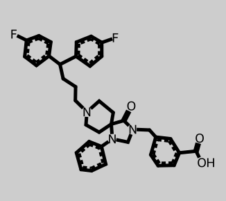 O=C(O)c1cccc(CN2CN(c3ccccc3)C3(CCN(CCCC(c4ccc(F)cc4)c4ccc(F)cc4)CC3)C2=O)c1